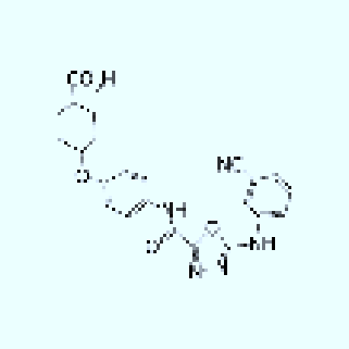 N#Cc1cccc(Nc2nnc(C(=O)Nc3ccc(O[C@H]4CC[C@@H](C(=O)O)CC4)cc3)o2)c1